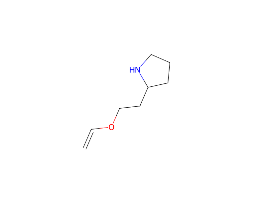 C=COCCC1CCCN1